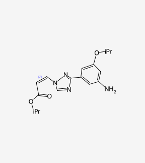 CC(C)OC(=O)/C=C\n1cnc(-c2cc(N)cc(OC(C)C)c2)n1